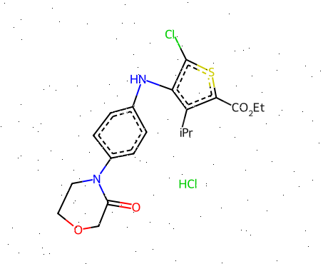 CCOC(=O)c1sc(Cl)c(Nc2ccc(N3CCOCC3=O)cc2)c1C(C)C.Cl